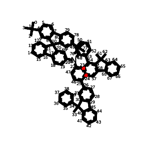 CC(C)(C)c1ccc2c(c1)C1(c3ccccc3-c3ccc(N(c4ccc(-c5ccc6c(c5)C(C)(c5ccccc5)c5ccccc5-6)cc4)c4ccccc4-c4cccc5c4C(C)(C)c4ccccc4-5)cc31)c1cc(C(C)(C)C)ccc1-2